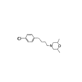 CC1CN(CCCCc2ccc(Cl)cc2)CC(C)O1